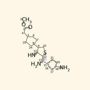 COC(=O)CC1CCC(C2CS/C(=C(/N)c3ccc(N)cc3)C2=N)CC1